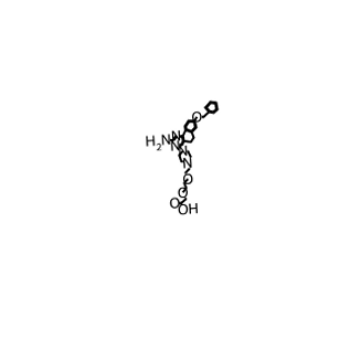 Nc1nc2c(c(N3CCN(CCOCCOCC(=O)O)CC3)n1)CCc1cc(OCc3ccccc3)ccc1-2